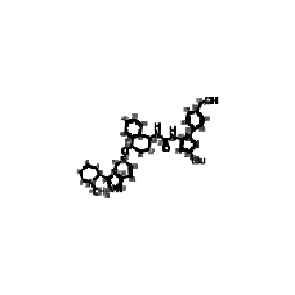 CN1CCCC[C@H]1c1nnc2n1CN(O[C@@H]1CC[C@H](NC(=O)Nc3cc(C(C)(C)C)nn3-c3ccc(CO)cc3)c3ccccc31)C=C2